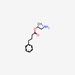 C[C@H](CN)OC(=O)CCCc1ccccc1